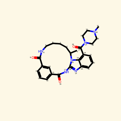 CC1CCCCNC(=O)c2cccc(c2)C(=O)Nc2nc3cccc(C(=O)N4CCN(C)CC4)c3n21